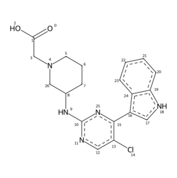 O=C(O)CN1CCCC(Nc2ncc(Cl)c(-c3c[nH]c4ccccc34)n2)C1